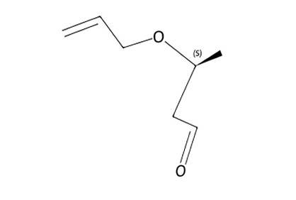 C=CCO[C@@H](C)CC=O